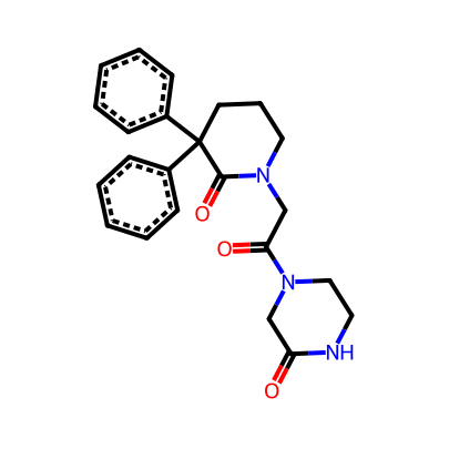 O=C1CN(C(=O)CN2CCCC(c3ccccc3)(c3ccccc3)C2=O)CCN1